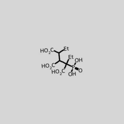 CCC(C(=O)O)C(C(=O)O)C(CC)(C(=O)O)P(=O)(O)O